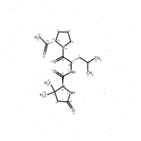 CC(C)C[C@H](NC(=O)[C@H]1NC(=O)CC1(C)C)C(=O)N1CCC[C@H]1C(N)=O